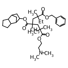 CCC(C)(CC(C)(CC(C)(C)C(=O)OCCN(C)C)C(=O)OC1CC2CC1C1CCCC21)C(=O)OCc1ccccc1